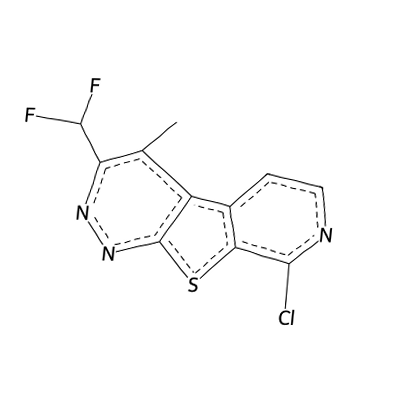 Cc1c(C(F)F)nnc2sc3c(Cl)nccc3c12